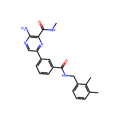 CNC(=O)c1nc(-c2cccc(C(=O)NCc3cccc(C)c3C)c2)cnc1N